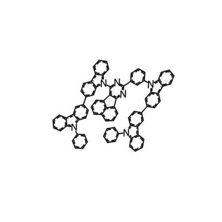 c1ccc(-n2c3ccccc3c3cc(-c4ccc5c6ccccc6n(-c6cccc(-c7nc8c(c(-n9c%10ccccc%10c%10ccc(-c%11ccc%12c(c%11)c%11ccccc%11n%12-c%11ccccc%11)cc%109)n7)-c7cccc9cccc-8c79)c6)c5c4)ccc32)cc1